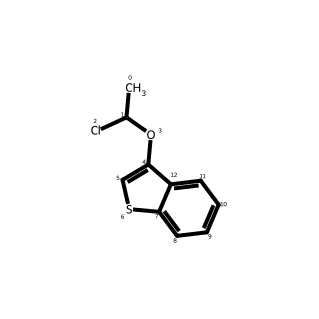 CC(Cl)Oc1csc2ccccc12